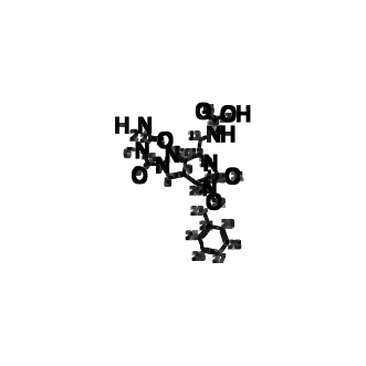 CN(C(N)=O)C(=O)n1cc2c(n1)C(CNC(=O)O)N1CC2N(OCc2ccccc2)C1=O